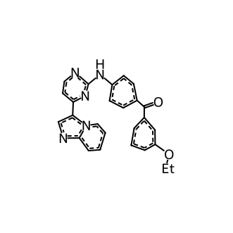 CCOc1cccc(C(=O)c2ccc(Nc3nccc(-c4cnc5ccccn45)n3)cc2)c1